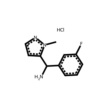 Cl.Cn1nccc1C(N)c1cccc(F)c1